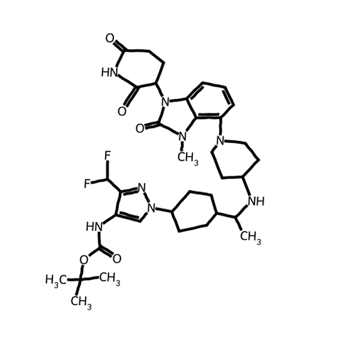 CC(NC1CCN(c2cccc3c2n(C)c(=O)n3C2CCC(=O)NC2=O)CC1)C1CCC(n2cc(NC(=O)OC(C)(C)C)c(C(F)F)n2)CC1